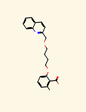 Cc1cccc(OCCCCOCc2ccc3ccccc3n2)c1C(=O)O